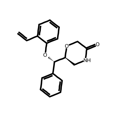 C=Cc1ccccc1O[C@@H](c1ccccc1)[C@@H]1CNC(=O)CO1